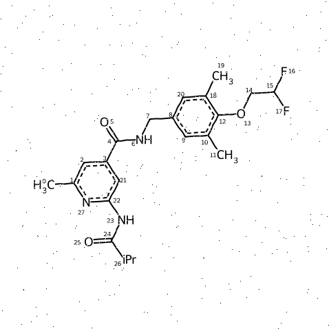 Cc1cc(C(=O)NCc2cc(C)c(OCC(F)F)c(C)c2)cc(NC(=O)C(C)C)n1